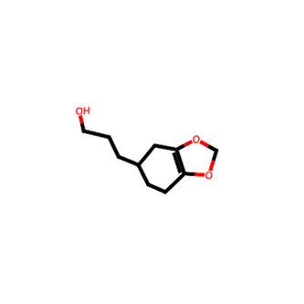 OCCCC1CCC2=C(C1)OCO2